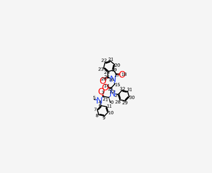 C[C@@H](C(=O)N(C)c1ccccc1)N(C(=O)CN1C(=O)c2ccccc2C1=O)c1ccccc1